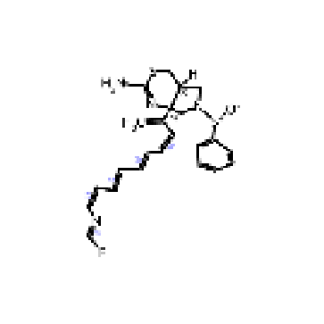 C=C(\C=C/C=C/C=C/C=C\N=C\F)[C@]12CN([S+]([O-])c3ccccc3)C[C@H]1CSC(N)=N2